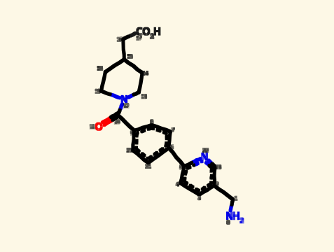 NCc1ccc(-c2ccc(C(=O)N3CCC(CC(=O)O)CC3)cc2)nc1